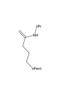 C=C(CCCCCCCC)NCCC